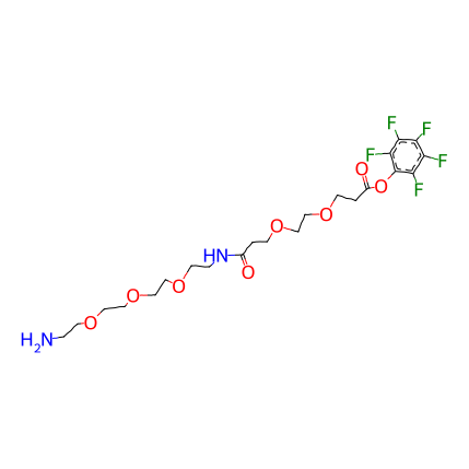 NCCOCCOCCOCCNC(=O)CCOCCOCCC(=O)Oc1c(F)c(F)c(F)c(F)c1F